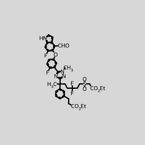 CCOC(=O)CCc1cccc(C(C)(CCC(F)(F)CCS(=O)(=O)CC(=O)OCC)c2nc(-c3cc(Oc4c(F)cc5[nH]ccc5c4C=O)ccc3F)n(C)n2)c1